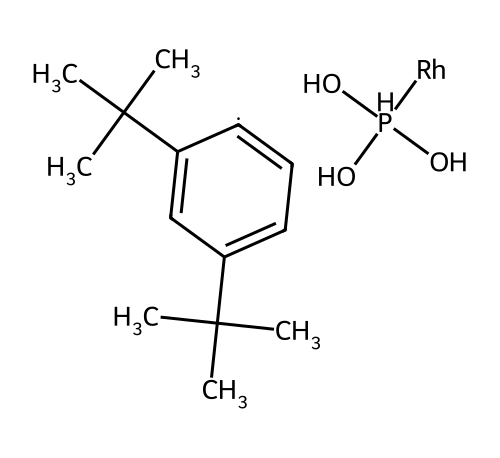 CC(C)(C)c1[c]ccc(C(C)(C)C)c1.O[PH](O)(O)[Rh]